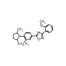 COc1ccccc1-c1noc(-c2ccc(N3C(C)CCC3C)c(C)c2)n1